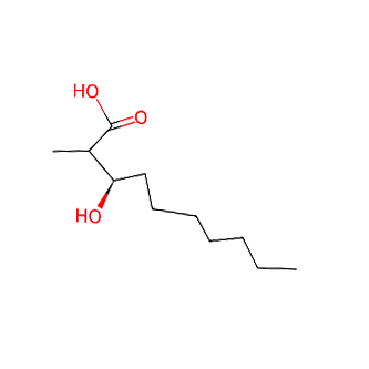 CCCCCCC[C@@H](O)C(C)C(=O)O